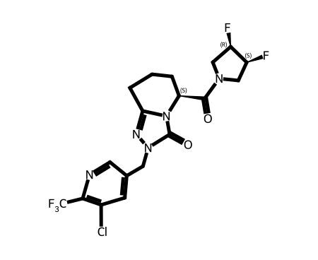 O=C([C@@H]1CCCc2nn(Cc3cnc(C(F)(F)F)c(Cl)c3)c(=O)n21)N1C[C@@H](F)[C@@H](F)C1